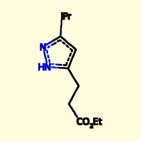 CCOC(=O)CCc1cc(C(C)C)n[nH]1